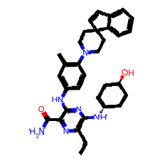 CCc1nc(C(N)=O)c(Nc2ccc(N3CCC4(C=Cc5ccccc54)CC3)c(C)c2)nc1N[C@H]1CC[C@H](O)CC1